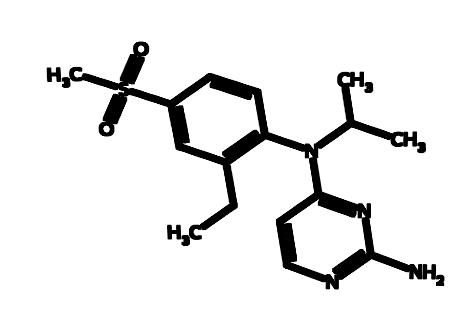 CCc1cc(S(C)(=O)=O)ccc1N(c1ccnc(N)n1)C(C)C